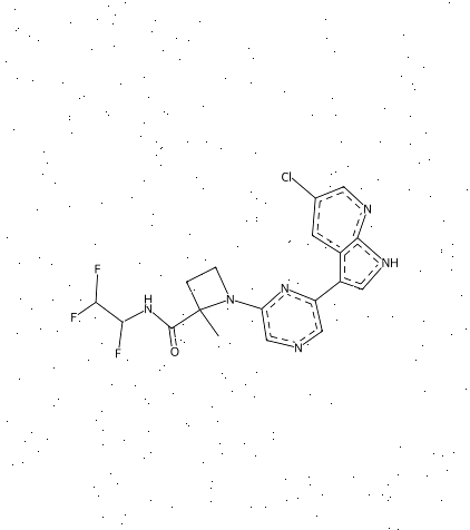 CC1(C(=O)NC(F)C(F)F)CCN1c1cncc(-c2c[nH]c3ncc(Cl)cc23)n1